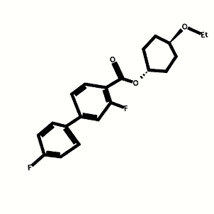 CCO[C@H]1CC[C@H](OC(=O)c2ccc(-c3ccc(F)cc3)cc2F)CC1